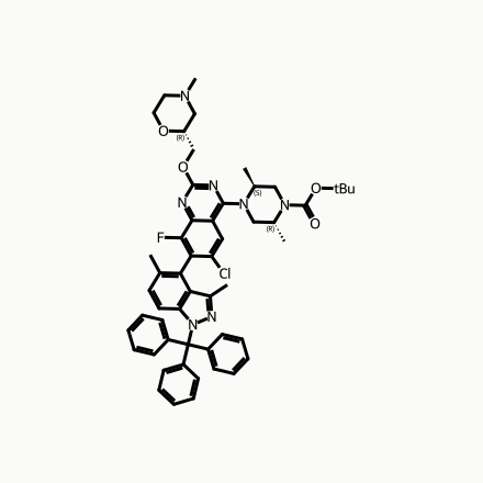 Cc1ccc2c(c(C)nn2C(c2ccccc2)(c2ccccc2)c2ccccc2)c1-c1c(Cl)cc2c(N3C[C@@H](C)N(C(=O)OC(C)(C)C)C[C@@H]3C)nc(OC[C@H]3CN(C)CCO3)nc2c1F